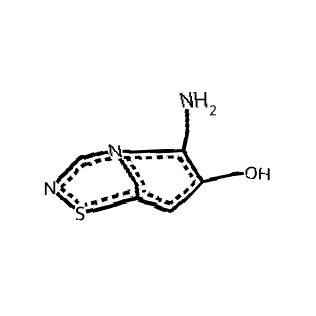 Nc1c(O)cc2sncn12